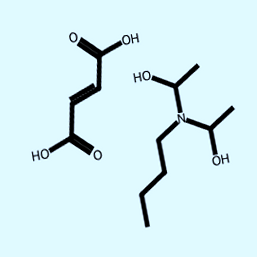 CCCCN(C(C)O)C(C)O.O=C(O)/C=C/C(=O)O